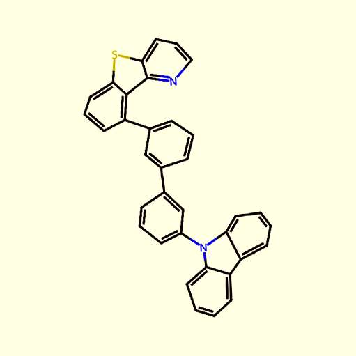 c1cc(-c2cccc(-n3c4ccccc4c4ccccc43)c2)cc(-c2cccc3sc4cccnc4c23)c1